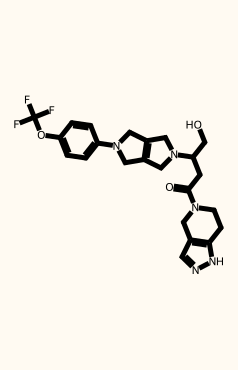 O=C(CC(CO)N1CC2=C(CN(c3ccc(OC(F)(F)F)cc3)C2)C1)N1CCc2[nH]ncc2C1